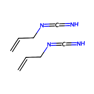 C=CCN=C=N.C=CCN=C=N